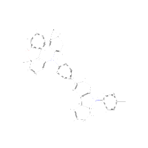 Cc1ccc(N2C3=C(C=C(c4ccc(N(C5=CCC6CC6=C5)C5=CC=CC6(C)Oc7ccccc7C56)cc4)CC3)C3C=CCCC32)cc1